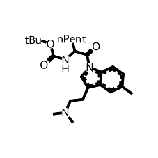 CCCCCC(NC(=O)OC(C)(C)C)C(=O)n1cc(CCN(C)C)c2cc(C)ccc21